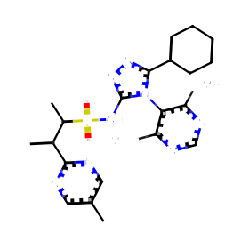 COc1ncnc(OC)c1-n1c(NS(=O)(=O)C(C)C(C)c2ncc(C)cn2)nnc1C1CCCCC1